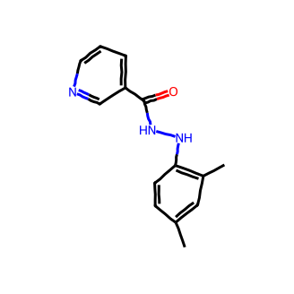 Cc1ccc(NNC(=O)c2cccnc2)c(C)c1